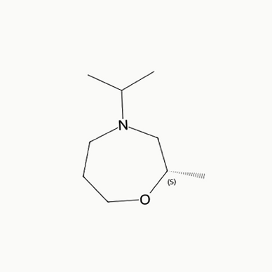 CC(C)N1CCCO[C@@H](C)C1